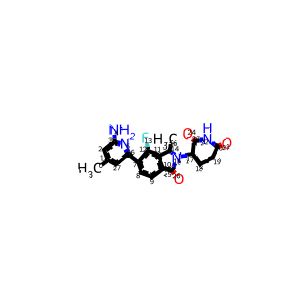 Cc1cc(N)nc(-c2ccc3c(c2F)C(C)N(C2CCC(=O)NC2=O)C3=O)c1